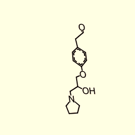 O=CCc1ccc(OCC(O)CN2CCCC2)cc1